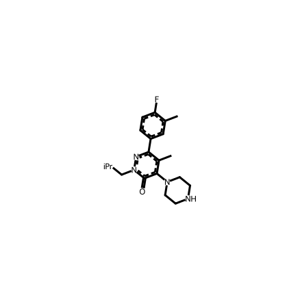 Cc1cc(-c2nn(CC(C)C)c(=O)c(N3CCNCC3)c2C)ccc1F